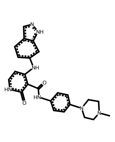 CN1CCN(c2ccc(NC(=O)c3c(Nc4ccc5cn[nH]c5c4)cc[nH]c3=O)cc2)CC1